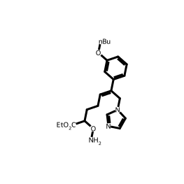 CCCCOc1cccc(C(=CCCC(ON)C(=O)OCC)Cn2ccnc2)c1